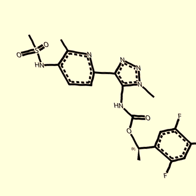 Cc1nc(-c2nnn(C)c2NC(=O)O[C@H](C)c2cc(F)c(F)cc2F)ccc1NS(C)(=O)=O